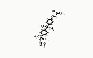 CC(O)COc1ccc(C(C)(C)c2ccc(C(C)(C)OC3CCO3)cc2)cc1